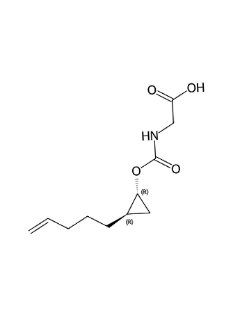 C=CCCC[C@@H]1C[C@H]1OC(=O)NCC(=O)O